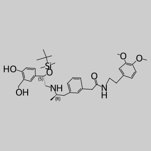 COc1ccc(CCNC(=O)Cc2cccc(C[C@@H](C)NC[C@@H](O[Si](C)(C)C(C)(C)C)c3ccc(O)c(CO)c3)c2)cc1OC